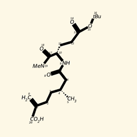 C=C(CC[C@@H](C)CC(=O)N[C@@H](CCC(=O)OC(C)(C)C)C(=O)NC)C(=O)O